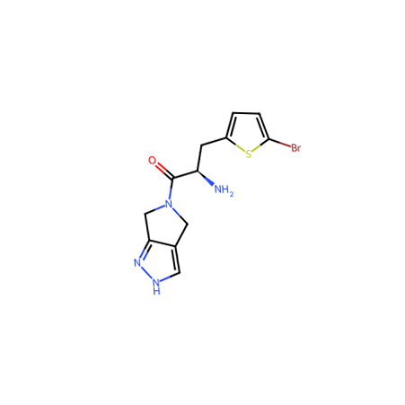 N[C@H](Cc1ccc(Br)s1)C(=O)N1Cc2c[nH]nc2C1